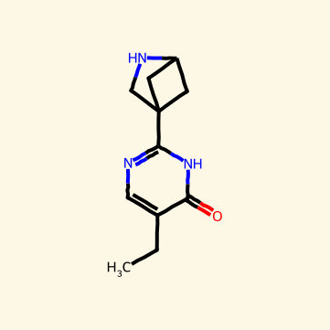 CCc1cnc(C23CNC(C2)C3)[nH]c1=O